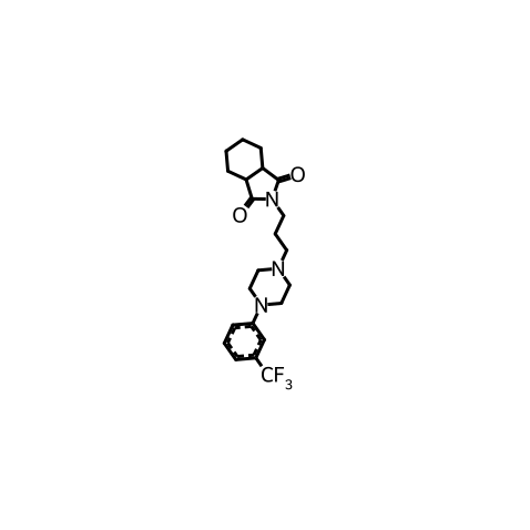 O=C1C2CCCCC2C(=O)N1CCCN1CCN(c2cccc(C(F)(F)F)c2)CC1